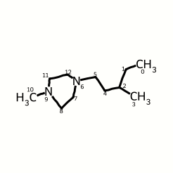 CCC(C)CCN1CCN(C)CC1